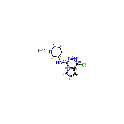 CN1CCCC(Nc2nnc(Cl)c3cccn23)C1